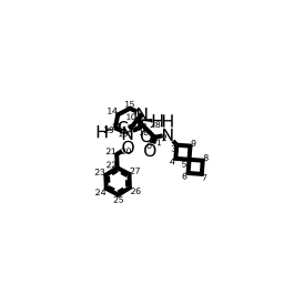 O=C(NC1CC2(CCC2)C1)[C@@H]1CC[C@@H]2CCN1C(=O)N2OCc1ccccc1